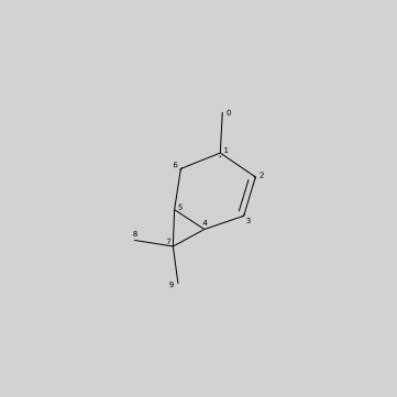 C[C]1C=CC2C(C1)C2(C)C